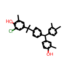 Cc1ccc(C(c2ccc(C(C)(C)c3cc(C)c(O)c(Cl)c3)cc2)c2ccc(O)c(C)c2)cc1C